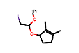 CCCOC(CI)OC1CCC(C)=C1C